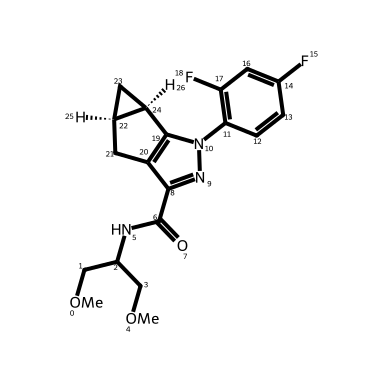 COCC(COC)NC(=O)c1nn(-c2ccc(F)cc2F)c2c1C[C@H]1C[C@@H]21